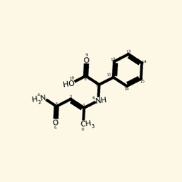 CC(=CC(N)=O)NC(C(=O)O)c1ccccc1